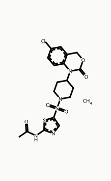 C.CC(=O)Nc1ncc(S(=O)(=O)N2CCC(N3C(=O)OCc4cc(Cl)ccc43)CC2)s1